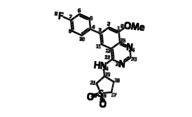 COc1cc(-c2ccc(F)cc2)cc2c(NC3CCS(=O)(=O)C3)ncnc12